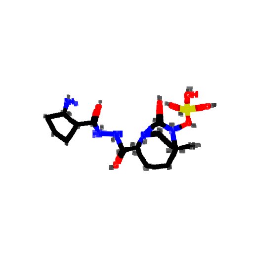 N[C@@H]1CCCC1C(=O)NNC(=O)[C@@H]1CC[C@@H]2CN1C(=O)N2OS(=O)(=O)O